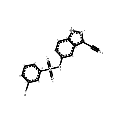 N#Cc1n[nH]c2ccc(OS(=O)(=O)c3cccc(F)c3)cc12